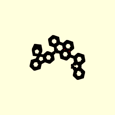 c1ccc(-c2ccccc2N(c2ccc(-c3cccc4c3sc3ccccc34)cc2)c2ccc3c(c2)C2(CC4CCC2C4)c2ccccc2-3)cc1